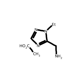 CC(=O)O.CCn1ncnc1CN